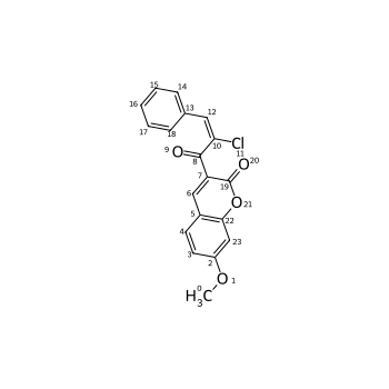 COc1ccc2cc(C(=O)/C(Cl)=C\c3ccccc3)c(=O)oc2c1